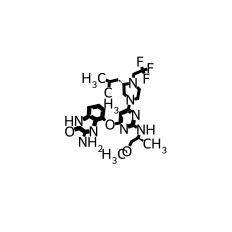 COC[C@H](C)Nc1nc(Oc2cccc3[nH]c(=O)c(N)nc23)cc(N2CCN(CC(F)(F)F)[C@@H](CC(C)C)C2)n1